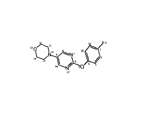 Fc1ccc(Oc2ncc(N3CCOCC3)cn2)cc1